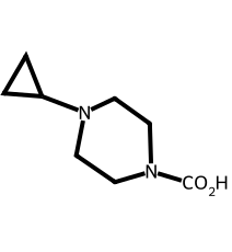 O=C(O)N1CCN(C2CC2)CC1